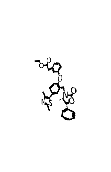 CCOC(=O)Cc1cccc(Oc2ccc(-c3sc(C)nc3C)cc2CN2C(=O)O[C@H](c3ccccc3)[C@@H]2C)c1